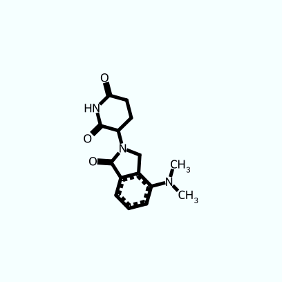 CN(C)c1cccc2c1CN(C1CCC(=O)NC1=O)C2=O